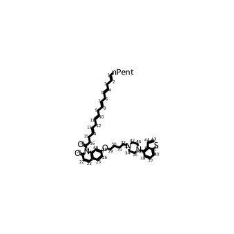 CCCCCC=CCC=CCC=CCC=CCC=CCCC(=O)n1c(=O)ccc2ccc(OCCCCN3CCN(c4cccc5sccc45)CC3)cc21